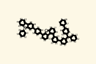 c1ccc(-c2ccc(C(c3ccccc3)c3cccc(-c4cccc(-c5cccc6oc7c(-c8ccc(-c9ccc%10c%11ccccc%11n(-c%11ccccc%11)c%10c9)cc8)cccc7c56)c4)c3)cc2)cc1